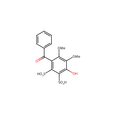 COc1c(O)c(S(=O)(=O)O)c(S(=O)(=O)O)c(C(=O)c2ccccc2)c1OC